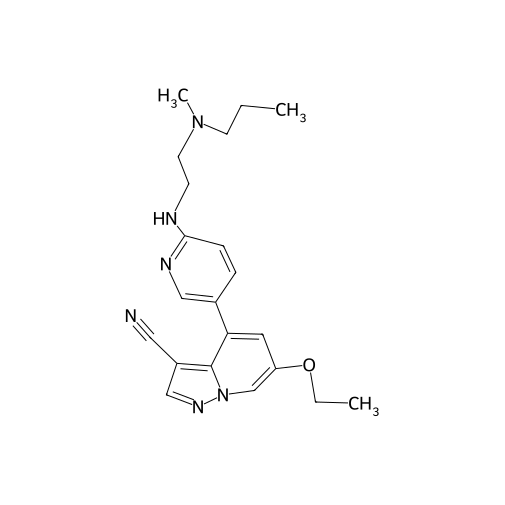 CCCN(C)CCNc1ccc(-c2cc(OCC)cn3ncc(C#N)c23)cn1